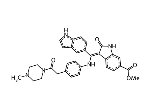 COC(=O)c1ccc2c(c1)NC(=O)C2=C(Nc1ccc(CC(=O)N2CCN(C)CC2)cc1)c1ccc2[nH]ccc2c1